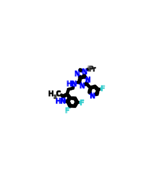 Cc1[nH]c2c(F)cc(F)cc2c1CCNc1nc(-c2cncc(F)c2)nc2c1ncn2C(C)C